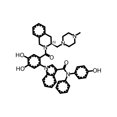 CN1CCN(C[C@@H]2Cc3ccccc3CN2C(=O)c2cc(O)c(O)cc2-n2cc(C(=O)N(c3ccccc3)c3ccc(O)cc3)c3ccccc32)CC1